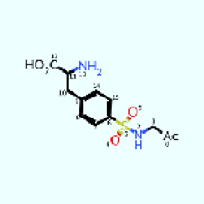 CC(=O)CNS(=O)(=O)c1ccc(CC(N)C(=O)O)cc1